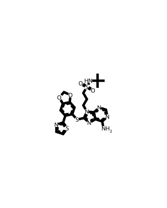 CC(C)(C)NS(=O)(=O)CCCn1c(Sc2cc3c(cc2-c2nccs2)OCO3)nc2c(N)ncnc21